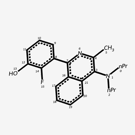 CCCN(CCC)c1c(C)nc(-c2cccc(O)c2F)c2ccccc12